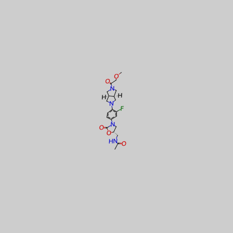 COCC(=O)N1C[C@@H]2CN(c3ccc(N4C[C@H](CNC(C)=O)OC4=O)cc3F)C[C@@H]2C1